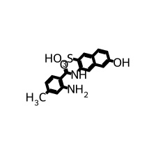 Cc1ccc(C(=O)Nc2cc3cc(O)ccc3cc2S(=O)(=O)O)c(N)c1